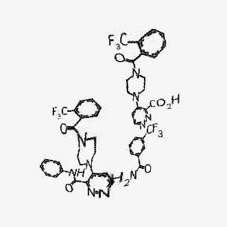 NC(=O)c1cccc(C(F)(F)F)c1.O=C(Nc1ccccc1)c1nnccc1N1CCN(C(=O)c2ccccc2C(F)(F)F)CC1.O=C(O)c1nnccc1N1CCN(C(=O)c2ccccc2C(F)(F)F)CC1